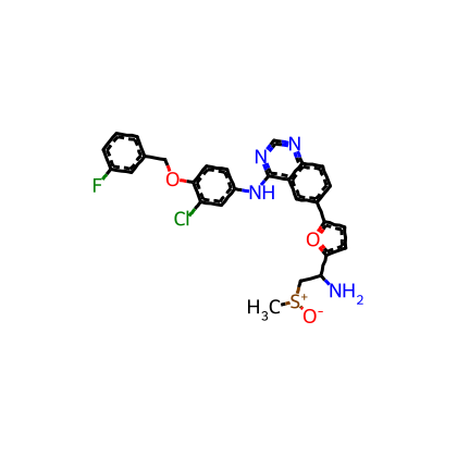 C[S+]([O-])CC(N)c1ccc(-c2ccc3ncnc(Nc4ccc(OCc5cccc(F)c5)c(Cl)c4)c3c2)o1